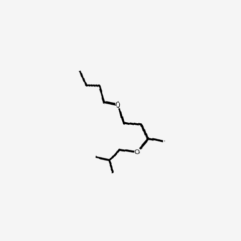 [CH2]C(CCOCCCC)OCC(C)C